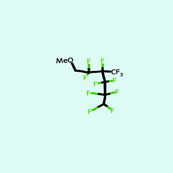 COCC(F)(F)C(F)(C(F)(F)F)C(F)(F)C(F)(F)C(F)F